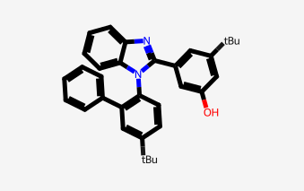 CC(C)(C)c1cc(O)cc(-c2nc3ccccc3n2-c2ccc(C(C)(C)C)cc2-c2ccccc2)c1